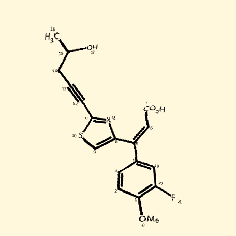 COc1ccc(C(=CC(=O)O)c2csc(C#CCC(C)O)n2)cc1F